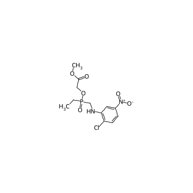 CCP(=O)(CNc1cc([N+](=O)[O-])ccc1Cl)OCC(=O)OC